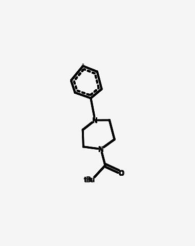 CC(C)(C)C(=O)N1CCN(c2cc[c]cc2)CC1